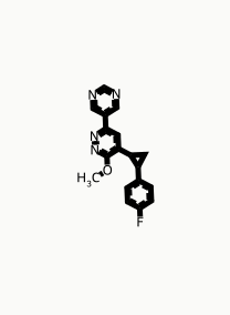 COc1nnc(-c2cncnc2)cc1C1CC1c1ccc(F)cc1